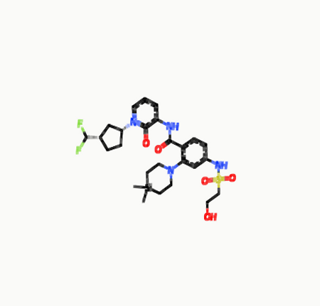 C[Si]1(C)CCN(c2cc(NS(=O)(=O)CCO)ccc2C(=O)Nc2cccn([C@@H]3CC[C@H](C(F)F)C3)c2=O)CC1